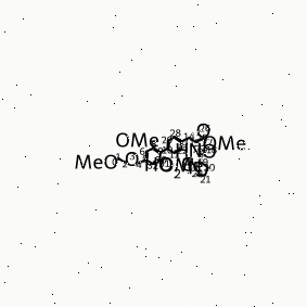 COCCOCc1cc(OC)c(-c2ccc(CC(NC(=O)[C@@H]3CCCN3C(=O)O)C(=O)OC)cc2)c(OC)c1